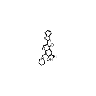 CCc1cc2c(=O)c(-c3nc4ccccc4s3)coc2c(CN2CCCCC2)c1O